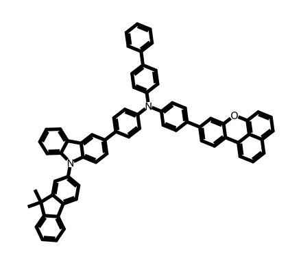 CC1(C)c2ccccc2-c2ccc(-n3c4ccccc4c4cc(-c5ccc(N(c6ccc(-c7ccccc7)cc6)c6ccc(-c7ccc8c(c7)Oc7cccc9cccc-8c79)cc6)cc5)ccc43)cc21